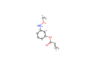 C=CC(=O)Oc1cccc(NOC)c1